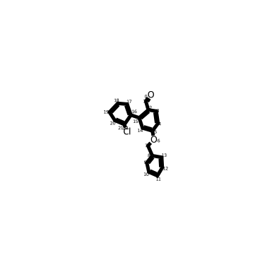 O=Cc1ccc(OCc2ccccc2)cc1-c1ccccc1Cl